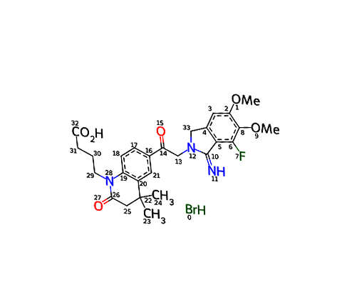 Br.COc1cc2c(c(F)c1OC)C(=N)N(CC(=O)c1ccc3c(c1)C(C)(C)CC(=O)N3CCCC(=O)O)C2